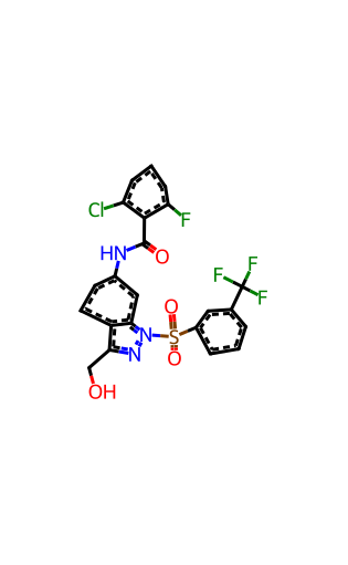 O=C(Nc1ccc2c(CO)nn(S(=O)(=O)c3cccc(C(F)(F)F)c3)c2c1)c1c(F)cccc1Cl